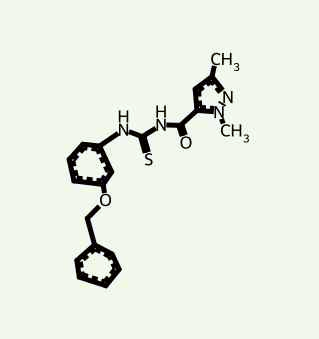 Cc1cc(C(=O)NC(=S)Nc2cccc(OCc3ccccc3)c2)n(C)n1